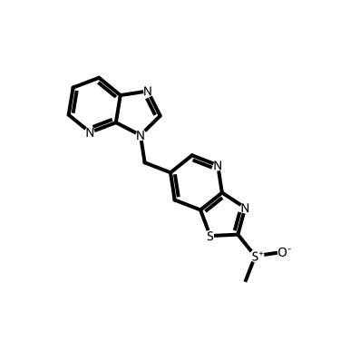 C[S+]([O-])c1nc2ncc(Cn3cnc4cccnc43)cc2s1